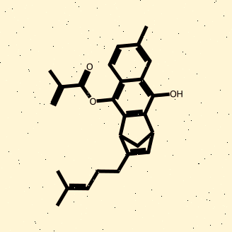 C=C(C)C(=O)Oc1c2c(c(O)c3cc(C)ccc13)C1C=C(CCC=C(C)C)C2C1